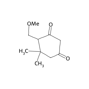 COCC1C(=O)CC(=O)CC1(C)C